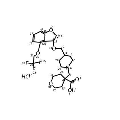 Cl.O=C(O)C1(CN2CCC(COc3noc4cccc(OCC(F)(F)F)c34)CC2)CCOCC1